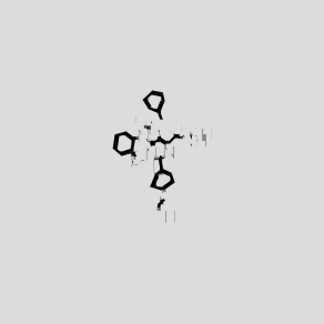 CCOc1ccc(-c2nc(C(=O)NC)c3c(n2)n(-c2ccccc2OC)c(=O)n3Cc2ccccc2)cc1